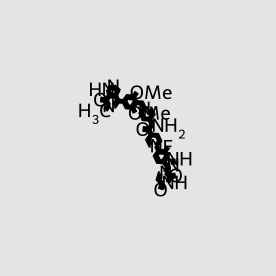 COc1cc(-c2cn(C)c(=O)c3[nH]ncc23)cc(OC)c1CN1CCC(C(N)C(=O)C2CCN(c3ccc4c(N5CCC(=O)NC5=O)n[nH]c4c3F)CC2)CC1